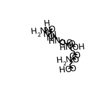 Nc1nc2ncc(CNc3ccc(C(=O)NC(CCC(=O)OC(=O)[C@@H](N)CCC(=O)O)C(=O)O)cc3)nc2c(=O)[nH]1